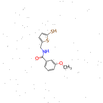 COc1cccc(C(=O)NCc2ccc(S)s2)c1